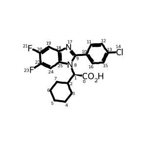 O=C(O)[C@@H](C1CCCCC1)n1c(-c2ccc(Cl)cc2)nc2cc(F)c(F)cc21